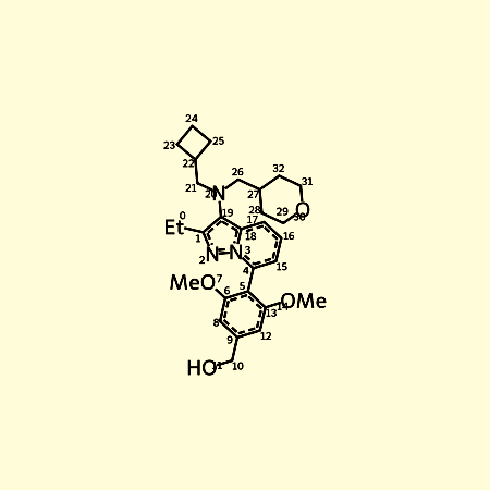 CCc1nn2c(-c3c(OC)cc(CO)cc3OC)cccc2c1N(CC1CCC1)CC1CCOCC1